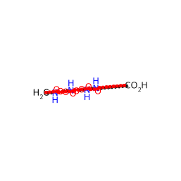 C=CCCCNC(=O)COCCOCCNC(=O)COCCOCCNC(=O)CCCNC(=O)CCCCCCCCCCCCCCCCC(=O)O